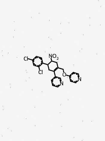 O=[N+]([O-])C1CC(COc2ccncc2)=C(c2cccnc2)CC1c1ccc(Cl)cc1Cl